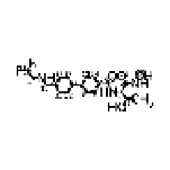 C=C(O)[C@H](NC(=O)c1ccc(-c2ccc(CNCC(F)F)cc2)cc1)C(=O)NO